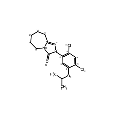 CC(C)Oc1cc(-n2nc3n(c2=O)CCCCC3)c(Cl)cc1Cl